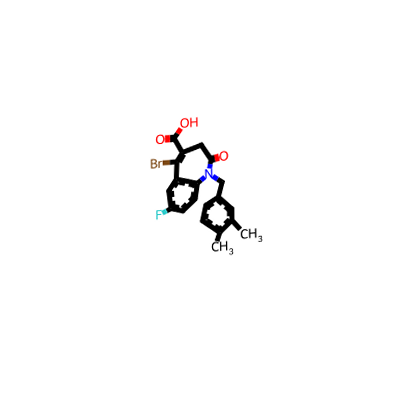 Cc1ccc(CN2C(=O)CC(C(=O)O)=C(Br)c3cc(F)ccc32)cc1C